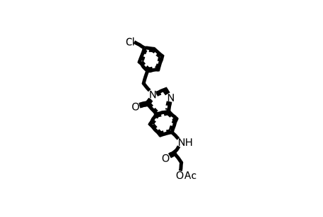 CC(=O)OCC(=O)Nc1ccc2c(=O)n(Cc3cccc(Cl)c3)cnc2c1